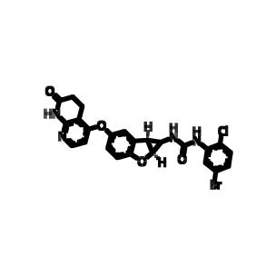 O=C1CCc2c(Oc3ccc4c(c3)[C@H]3C(NC(=O)Nc5cc(Br)ccc5Cl)[C@H]3O4)ccnc2N1